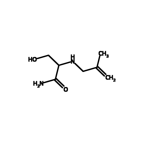 C=C(C)CNC(CO)C(N)=O